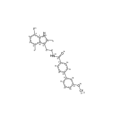 Cc1[nH]c2c(F)ccc(C)c2c1CCNC(=O)c1ccc(-c2cccc(OC(F)(F)F)c2)cc1